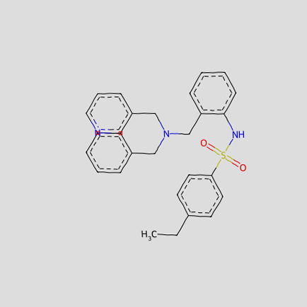 CCc1ccc(S(=O)(=O)Nc2ccccc2CN(Cc2ccccc2)Cc2cccnc2)cc1